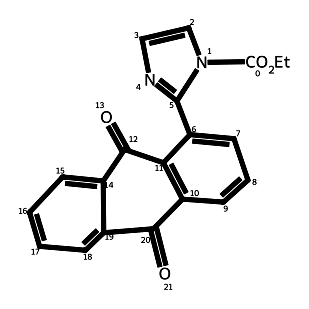 CCOC(=O)n1ccnc1-c1cccc2c1C(=O)c1ccccc1C2=O